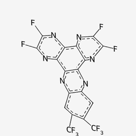 Fc1nc2c3nc(F)c(F)nc3c3nc4cc(C(F)(F)F)c(C(F)(F)F)cc4nc3c2nc1F